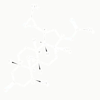 CC(=O)O[C@H]1C[C@@H](C2OC2C)[C@H]2[C@@H]3CC[C@H]4CC(=O)C[C@H](C)[C@]4(C)[C@H]3CC[C@@]21C